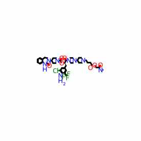 CN(C)C(=O)COC(=O)CCCN1CCC(N2CCN(C(=O)[C@@H](Cc3cc(Cl)c(N)c(C(F)(F)F)c3)OC(=O)N3CCC(N4CCc5ccccc5NC4=O)CC3)CC2)CC1